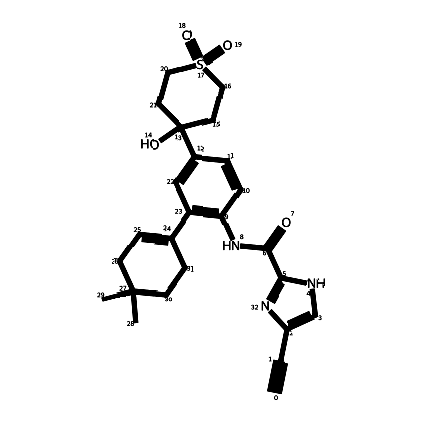 C#Cc1c[nH]c(C(=O)Nc2ccc(C3(O)CCS(=O)(=O)CC3)cc2C2=CCC(C)(C)CC2)n1